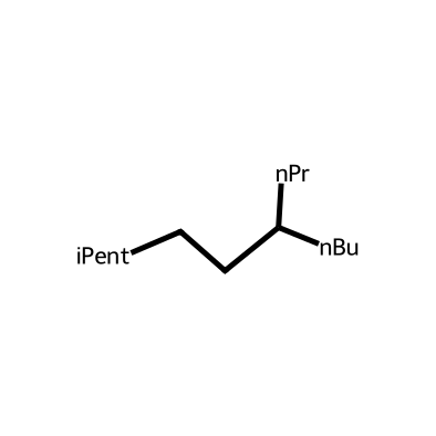 CCCCC(CCC)CCC(C)CCC